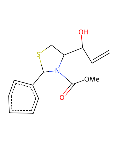 C=CC(O)C1CSC(c2ccccc2)N1C(=O)OC